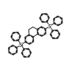 c1ccc([Si](c2ccccc2)(c2ccccc2)c2ccc3c(c2)CCc2cc(S(c4ccccc4)(c4ccccc4)c4ccccc4)ccc2-3)cc1